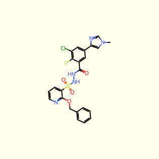 Cn1cnc(-c2cc(Cl)c(F)c(C(=O)NNS(=O)(=O)c3cccnc3OCc3ccccc3)c2)c1